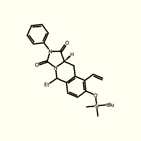 C=Cc1c(O[Si](C)(C)C(C)(C)C)ccc2c1C[C@H]1C(=O)N(c3ccccc3)C(=O)N1C2CC